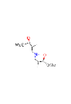 COC(=O)C(C)CNCC(C)C(=O)OC